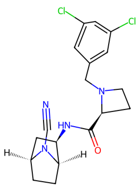 N#CN1[C@H]2CC[C@@H]1[C@H](NC(=O)[C@@H]1CCN1Cc1cc(Cl)cc(Cl)c1)C2